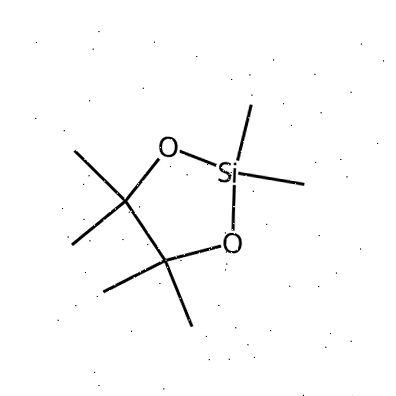 CC1(C)O[Si](C)(C)OC1(C)C